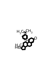 CN(C)c1ccc([C@H]2C[C@@]3(C)C(CC[C@@H]3O)C3CCC4=CC(=O)CC[C@@H]4C32)cc1